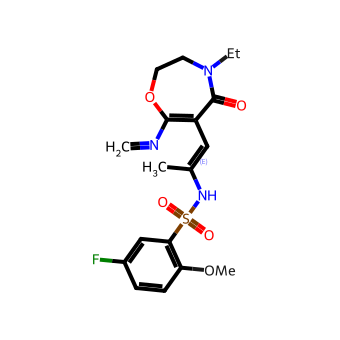 C=NC1=C(/C=C(\C)NS(=O)(=O)c2cc(F)ccc2OC)C(=O)N(CC)CCO1